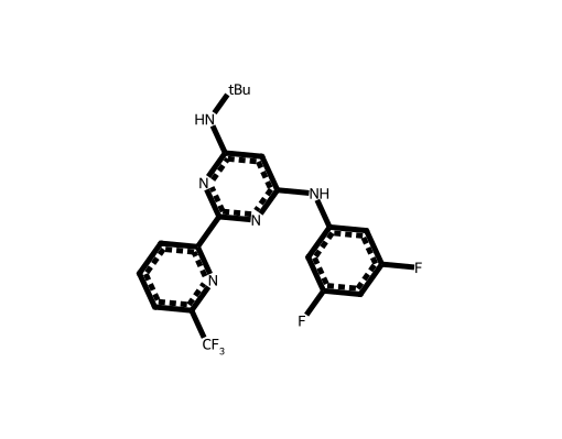 CC(C)(C)Nc1cc(Nc2cc(F)cc(F)c2)nc(-c2cccc(C(F)(F)F)n2)n1